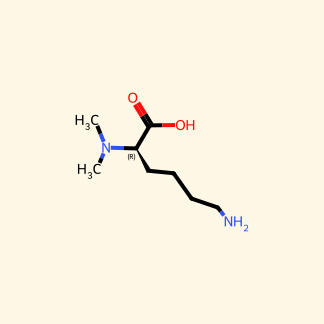 CN(C)[C@H](CCCCN)C(=O)O